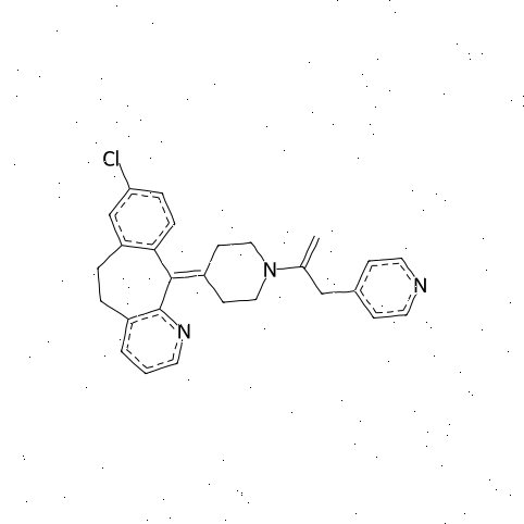 C=C(Cc1ccncc1)N1CCC(=C2c3ccc(Cl)cc3CCc3cccnc32)CC1